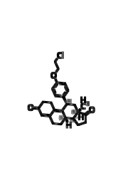 C[C@]12C[C@H](c3ccc(OCCCl)cc3)C3=C4CCC(=O)C=C4CC[C@H]3[C@@H]1CCC2=O